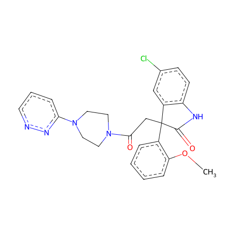 COc1ccccc1C1(CC(=O)N2CCN(c3cccnn3)CC2)C(=O)Nc2ccc(Cl)cc21